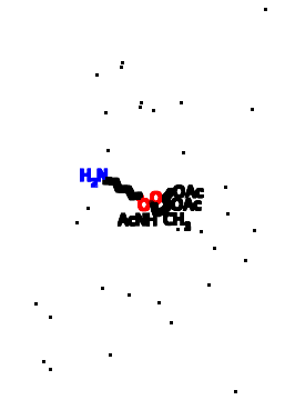 CC(=O)NC1[C@H](OCCCCCCN)OC(COC(C)=O)[C@H](OC(C)=O)[C@@H]1C